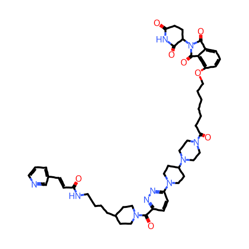 O=C(/C=C/c1cccnc1)NCCCCC1CCN(C(=O)c2ccc(N3CCC(N4CCN(C(=O)CCCCCCOc5cccc6c5C(=O)N(C5CCC(=O)NC5=O)C6=O)CC4)CC3)nn2)CC1